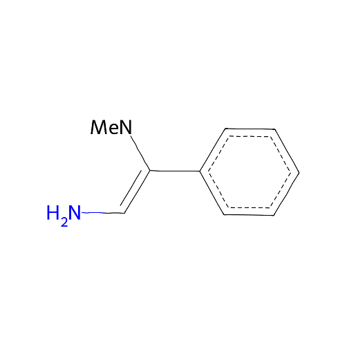 CN/C(=C\N)c1ccccc1